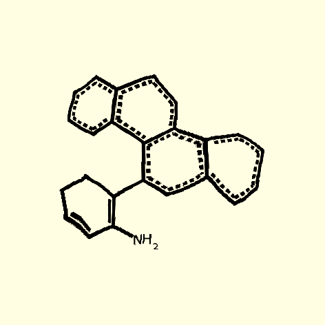 NC1=C(c2cc3ccccc3c3ccc4ccccc4c23)CCC=C1